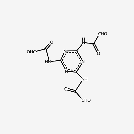 O=CC(=O)Nc1nc(NC(=O)C=O)nc(NC(=O)C=O)n1